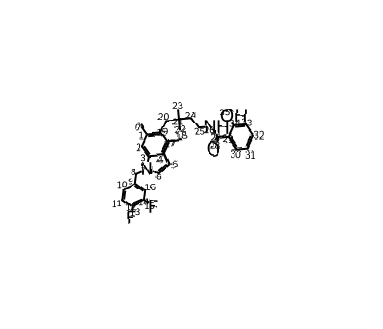 Cc1cc2c(ccn2Cc2ccc(F)c(F)c2)c(C)c1CC(C)(C)CCNC(=O)c1ccccc1O